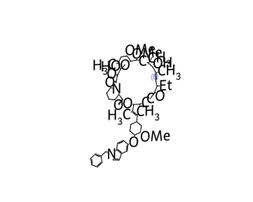 CCC1/C=C(\C)C(O)C(C)CC(OC)C2OC(O)(C(=O)C(=O)N3CCCCC3C(=O)OC(C(C)=CC3CCC(Oc4ccc5c(ccn5Cc5ccccc5)c4)C(OC)C3)C(C)CCC1=O)C(C)CC2OC